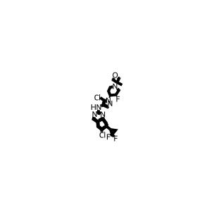 CC1(N2CC[C@H](n3ncc(Nc4ncc5cc(Cl)c(C6CC6(F)F)cc5n4)c3Cl)[C@@H](F)C2)COC1